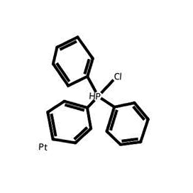 Cl[PH](c1ccccc1)(c1ccccc1)c1ccccc1.[Pt]